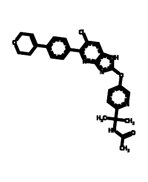 CC(=O)NC(C)(C)c1ccc(Oc2nc3nc(-c4ccc(C5=CCOCC5)cc4)c(Cl)cc3[nH]2)cn1